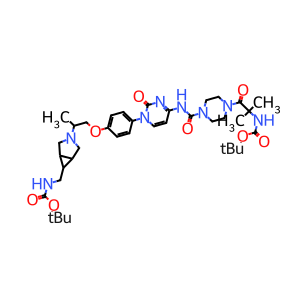 CC(COc1ccc(-n2ccc(NC(=O)N3CCN(C(=O)C(C)(C)NC(=O)OC(C)(C)C)CC3)nc2=O)cc1)N1CC2C(CNC(=O)OC(C)(C)C)C2C1